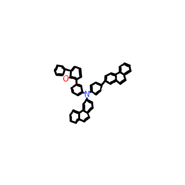 c1cc(-c2cccc3c2oc2ccccc23)cc(N(c2ccc(-c3ccc4c(ccc5ccccc54)c3)cc2)c2ccc3ccc4ccccc4c3c2)c1